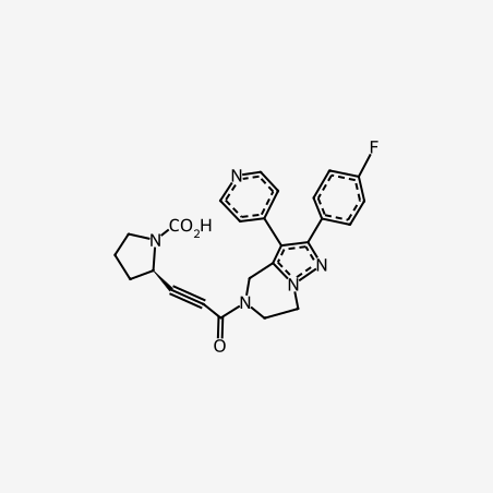 O=C(C#C[C@H]1CCCN1C(=O)O)N1CCn2nc(-c3ccc(F)cc3)c(-c3ccncc3)c2C1